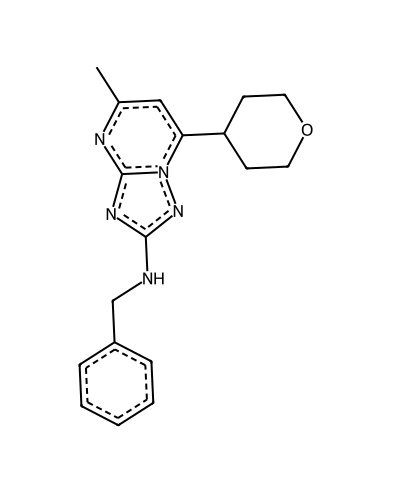 Cc1cc(C2CCOCC2)n2nc(NCc3ccccc3)nc2n1